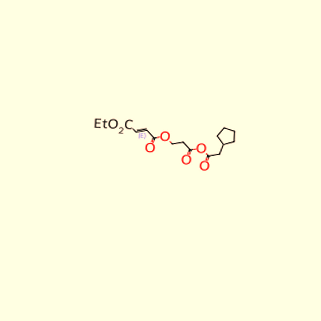 CCOC(=O)/C=C/C(=O)OCCC(=O)OC(=O)CC1CCCC1